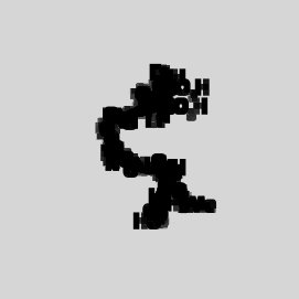 CC/N=c1\ccc2c(-c3ccccc3C(=O)N(C)CCCC(=O)NNC(=O)c3cccc(OCC(N=[N+]=[N-])OCCOCC(=O)NCC#Cc4cn([C@H]5CC(OCSSC)[C@@H](COPO[PH](=O)OP(C)O)O5)c(=O)[nH]c4=O)c3)c3ccc(NCC)c(S(=O)(=O)O)c3oc-2c1S(=O)(=O)O